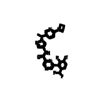 CC(c1ccc(N2CCC2)nc1)n1cc(NC(=O)c2cncc(-c3c(C(F)F)ccc(Cl)c3F)n2)cn1